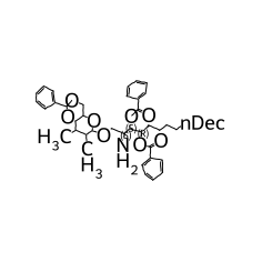 CCCCCCCCCCCCCC[C@@H](OC(=O)c1ccccc1)[C@@H](OC(=O)c1ccccc1)[C@@H](N)COC1OC2COC(c3ccccc3)OC2C(C)C1C